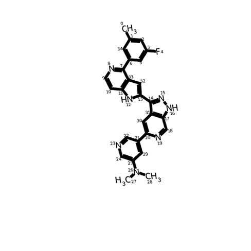 Cc1cc(F)cc(-c2nccc3[nH]c(-c4n[nH]c5cnc(-c6cncc(N(C)C)c6)cc45)cc23)c1